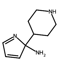 NC1(C2CCNCC2)C=CC=N1